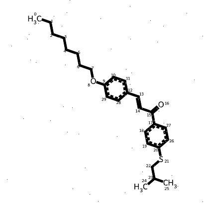 CCCCCCCCOc1ccc(C=CC(=O)c2ccc(SCC(C)C)cc2)cc1